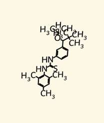 Cc1cc(C)c(NC(=S)Nc2cccc(C(O[SiH](C)C)C(C)(C)C)c2)c(C)c1